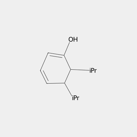 CC(C)C1C=CC=C(O)C1C(C)C